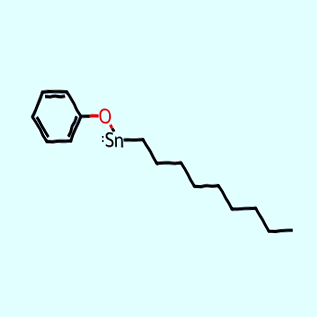 CCCCCCCC[CH2][Sn][O]c1ccccc1